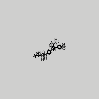 CC(C)(C)c1cc(NC(=O)Nc2ccc(-n3nc(-c4ccc(S(C)(=O)=O)cc4)c4c(N)ncnc43)cc2)no1